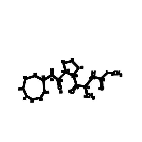 CCC(=O)N[C@@H](C)C(=O)N1CCC[C@H]1C(=O)NC1CCCCCCC1